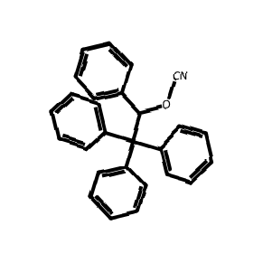 N#COC(c1ccccc1)C(c1ccccc1)(c1ccccc1)c1ccccc1